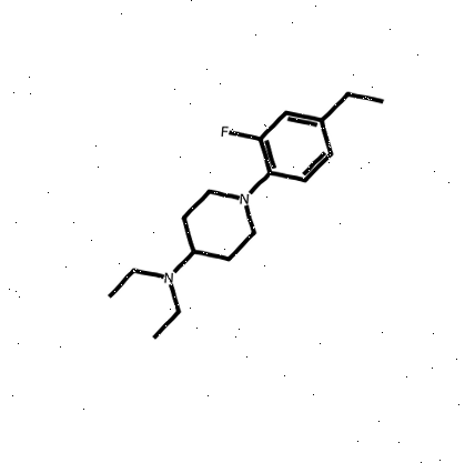 CCc1ccc(N2CCC(N(CC)CC)CC2)c(F)c1